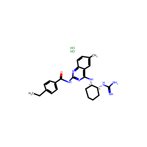 CCc1ccc(C(=O)Nc2nc(N[C@H]3CCCC[C@H]3NC(=N)N)c3cc(C)ccc3n2)cc1.Cl.Cl